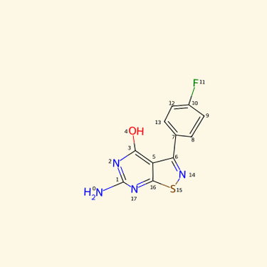 Nc1nc(O)c2c(-c3ccc(F)cc3)nsc2n1